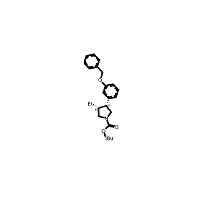 CC[C@H]1CN(C(=O)OC(C)(C)C)C[C@H]1c1cccc(OCc2ccccc2)c1